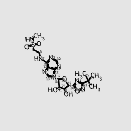 CNS(=O)(=O)CCNc1ncnc2c1ncn2[C@@H]1O[C@H](c2nc(C(C)(C)C)no2)[C@@H](O)[C@@H]1O